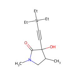 CC[Si](C#CC1(O)C(=O)N(C)CC1C)(CC)CC